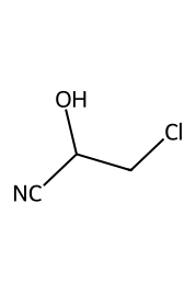 N#CC(O)CCl